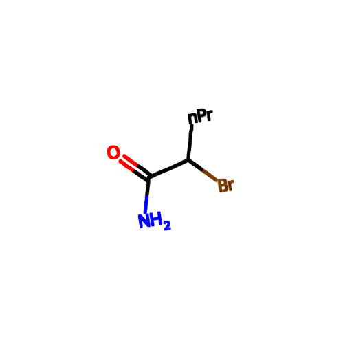 CCCC(Br)C(N)=O